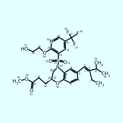 CC/C(=C\c1ccc2c(c1)N(S(=O)(=O)c1cc(C(F)(F)F)cnc1OCCO)C[C@H](CCC(=O)OC)O2)C(C)C